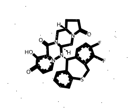 O=C1CC[C@H]2CN3C(=O)c4c(O)c(=O)ccn4N([C@H]4c5ccccc5SCc5c4ccc(F)c5F)[C@@H]3CN12